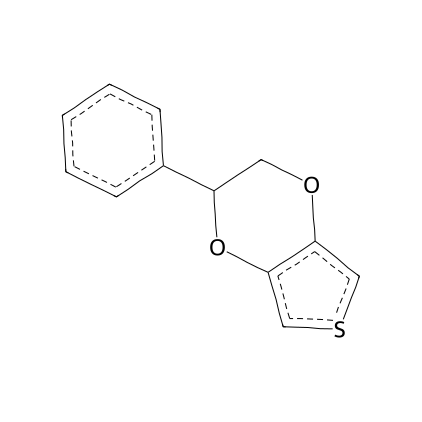 c1ccc(C2COc3cscc3O2)cc1